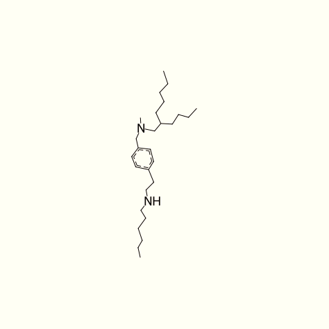 CCCCCCNCCc1ccc(CN(C)CC(CCCC)CCCCC)cc1